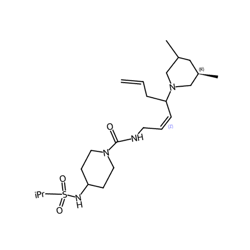 C=CCC(/C=C\CNC(=O)N1CCC(NS(=O)(=O)C(C)C)CC1)N1CC(C)C[C@@H](C)C1